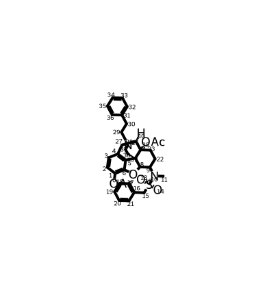 CC(=O)Oc1ccc2c3c1OC1C(N(C)S(=O)(=O)Cc4ccccc4)CC[C@@]4(OC(C)=O)[C@@H](C2)N(CCc2ccccc2)CC[C@]314